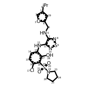 CC(C)c1coc(CNc2nsnc2Nc2ccc(Cl)c(S(=O)(=O)N3CCCC3)c2O)c1